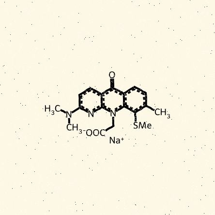 CSc1c(C)ccc2c(=O)c3ccc(N(C)C)nc3n(CC(=O)[O-])c12.[Na+]